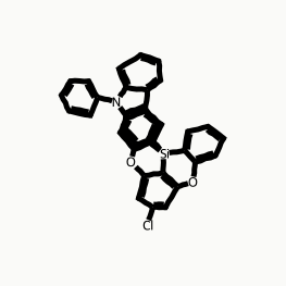 Clc1cc2c3c(c1)Oc1ccccc1[Si]3(c1ccc3c(c1)c1ccccc1n3-c1ccccc1)c1ccccc1O2